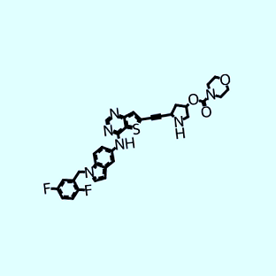 O=C(OC1CNC(C#Cc2cc3ncnc(Nc4ccc5c(ccn5Cc5cc(F)ccc5F)c4)c3s2)C1)N1CCOCC1